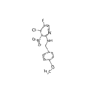 COc1ccc(CNc2ncc(F)c(Cl)c2[N+](=O)[O-])cc1